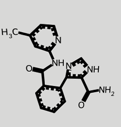 Cc1ccnc(NC(=O)c2ccccc2-c2nc[nH]c2C(N)=O)c1